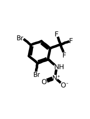 O=[N+]([O-])Nc1c(Br)cc(Br)cc1C(F)(F)F